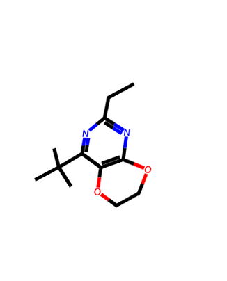 CCc1nc2c(c(C(C)(C)C)n1)OCCO2